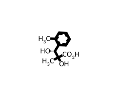 Cc1ccccc1[C@@H](O)C(C)(O)C(=O)O